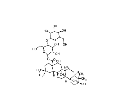 CC1(C)CC[C@]2(C(=O)O[C@H]3OC(CO)[C@H](O[C@H]4OC(CO)[C@H](O)[C@@H](O)C4O)[C@@H](O)C3O)C(O)C[C@]3(C)C(=CC[C@@H]4[C@@]5(C)CC[C@H](O)C(C)(C)[C@@H]5CC[C@]43C)[C@@H]2C1